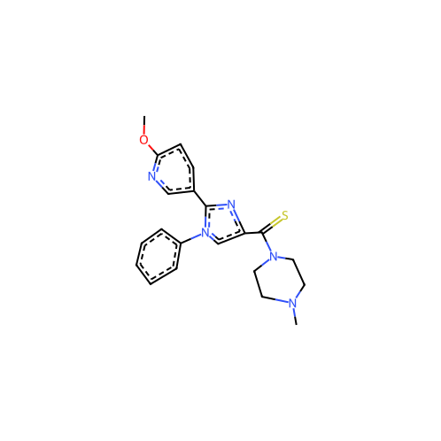 COc1ccc(-c2nc(C(=S)N3CCN(C)CC3)cn2-c2ccccc2)cn1